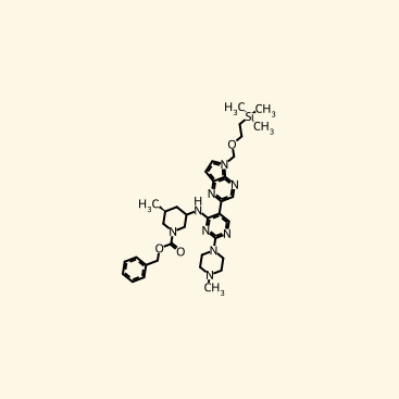 C[C@H]1CC(Nc2nc(N3CCN(C)CC3)ncc2-c2cnc3c(ccn3COCC[Si](C)(C)C)n2)CN(C(=O)OCc2ccccc2)C1